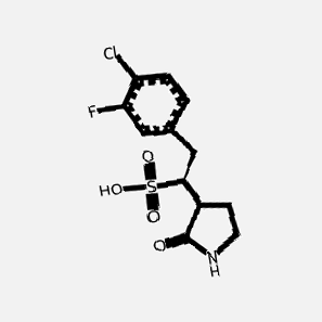 O=C1NCCC1[C@H](Cc1ccc(Cl)c(F)c1)S(=O)(=O)O